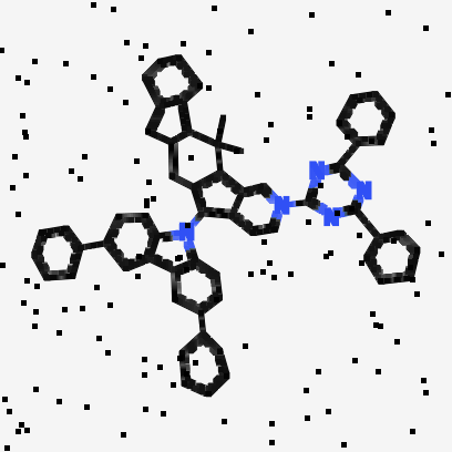 CC1(C)C2=c3ccccc3=CC2=Cc2c(-n3c4ccc(-c5ccccc5)cc4c4cc(-c5ccccc5)ccc43)c3ccn(-c4nc(-c5ccccc5)nc(-c5ccccc5)n4)cc-3c21